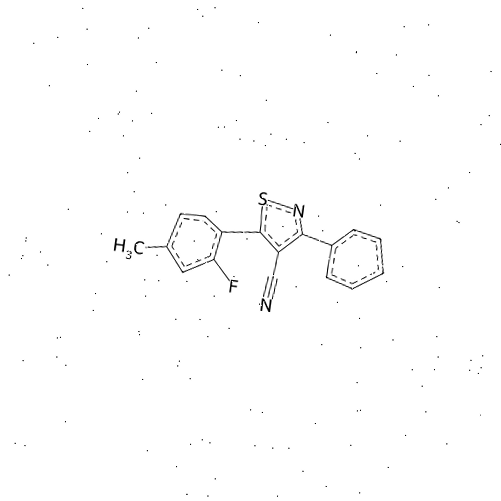 Cc1ccc(-c2snc(-c3ccccc3)c2C#N)c(F)c1